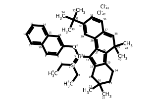 CC[Si](CC)=[Ti+2]([O]c1ccc2ccccc2c1)[C]1=C2CC(C)(C)CCC2=C2C1=c1cc(C(C)(C)C)ccc1=CC2(C)C.[Cl-].[Cl-]